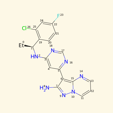 CC[C@H](Nc1cc(-c2c(N)nn3cccnc23)ncn1)c1ccc(F)cc1Cl